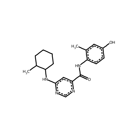 Cc1cc(O)ccc1NC(=O)c1cc(NC2CCCCC2C)ncn1